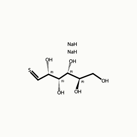 OC[C@@H](O)[C@@H](O)[C@H](O)[C@@H](O)C=S.[NaH].[NaH]